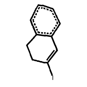 IC1=Cc2ccccc2CC1